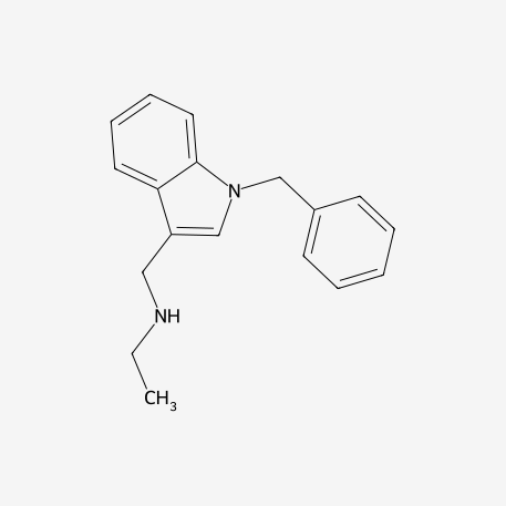 CCNCc1cn(Cc2ccccc2)c2ccccc12